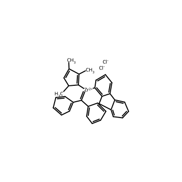 CC1=CC(C)[C]([Zr+2](=[C](c2ccccc2)c2ccccc2)[c]2cccc3c2Cc2ccccc2-3)=C1C.[Cl-].[Cl-]